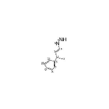 CC(C=CN=N)c1ccccc1